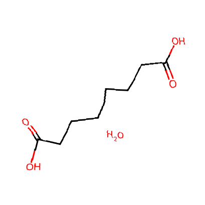 O.O=C(O)CCCCCCC(=O)O